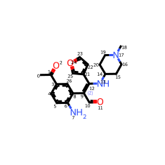 CC(=O)c1ccc(N)c(/C(C=O)=C(/NC2CCN(C)CC2)c2ccoc2)c1